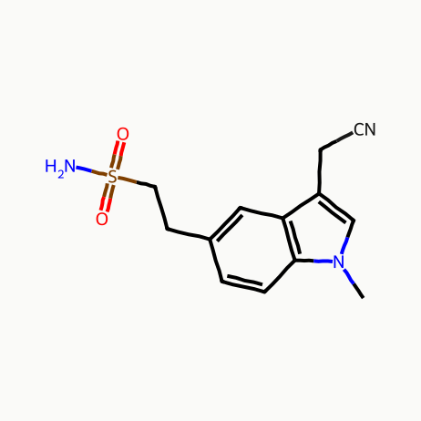 Cn1cc(CC#N)c2cc(CCS(N)(=O)=O)ccc21